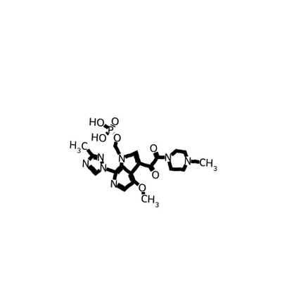 COc1cnc(-n2cnc(C)n2)c2c1c(C(=O)C(=O)N1CCN(C)CC1)cn2COP(=O)(O)O